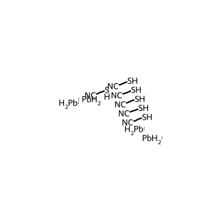 N#CS.N#CS.N#CS.N#CS.N#CS.N#CS.[PbH2].[PbH2].[PbH2].[PbH2]